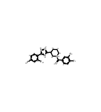 O=C(c1ccc(F)c(F)c1)N1CCCC(c2nc(-c3ccc(F)cc3F)no2)C1